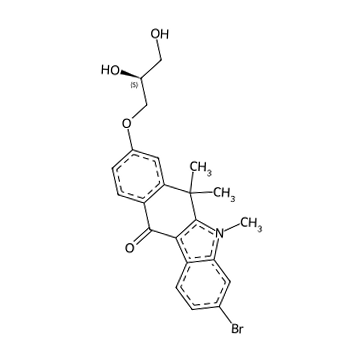 Cn1c2c(c3ccc(Br)cc31)C(=O)c1ccc(OC[C@@H](O)CO)cc1C2(C)C